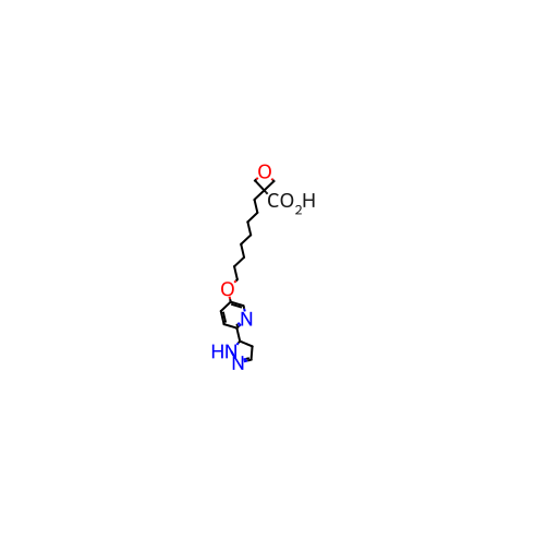 O=C(O)C1(CCCCCCCCOc2ccc(C3CC=NN3)nc2)COC1